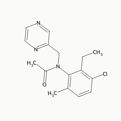 CCc1c(Cl)ccc(C)c1N(Cc1cnccn1)C(C)=O